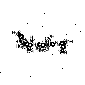 Nc1c(N=Nc2ccc3c(O)c(N=Nc4ccc(N=Nc5ccc(S(=O)(=O)O)c6ccc(S(=O)(=O)O)cc56)cc4OCC(=O)O)c(S(=O)(=O)O)cc3c2S(=O)(=O)O)cc(S(=O)(=O)O)c2cc(S(=O)(=O)O)c(N=Nc3ccc(S(=O)(=O)O)cc3[N+](=O)[O-])c(O)c12